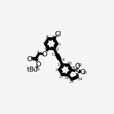 CC(C)(C)OC(=O)COc1ccc(Cl)cc1C#Cc1ccc2c(c1)S(=O)(=O)C=C2